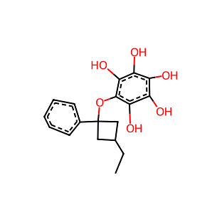 CCC1CC(Oc2c(O)c(O)c(O)c(O)c2O)(c2ccccc2)C1